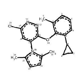 Cc1cccc(C2CC2)c1Oc1nnc(Cl)cc1-n1c(C)ccc1C